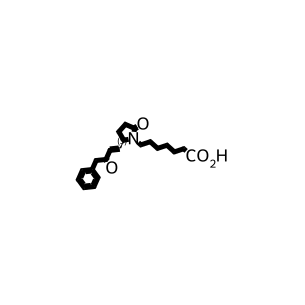 O=C(O)CCCCCCN1C(=O)CC[C@H]1C=CC(=O)Cc1ccccc1